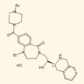 CCN1CCN(CC(O)[C@@H]2Cc3ccccc3CN2)C(=O)c2ccc(C(=O)N3CCN(C(C)=O)CC3)cc21.Cl